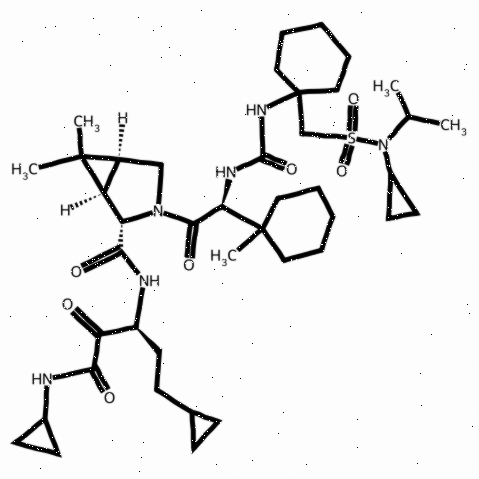 CC(C)N(C1CC1)S(=O)(=O)CC1(NC(=O)N[C@H](C(=O)N2C[C@H]3[C@@H]([C@H]2C(=O)N[C@@H](CCC2CC2)C(=O)C(=O)NC2CC2)C3(C)C)C2(C)CCCCC2)CCCCC1